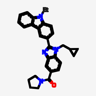 CCn1c2ccccc2c2cc(-c3nc4cc(C(=O)N5CCCC5)ccc4n3CC3CC3)ccc21